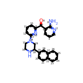 Nc1ncccc1C(=O)c1cccc(N2CCNC(c3ccc4ccccc4c3)C2)n1